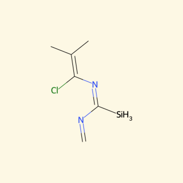 C=N/C([SiH3])=N\C(Cl)=C(C)C